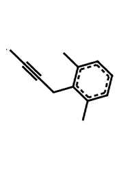 [CH2]C#CCc1c(C)cccc1C